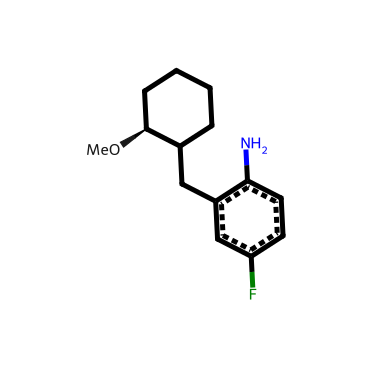 CO[C@H]1CCCCC1Cc1cc(F)ccc1N